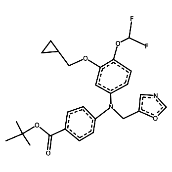 CC(C)(C)OC(=O)c1ccc(N(Cc2cnco2)c2ccc(OC(F)F)c(OCC3CC3)c2)cc1